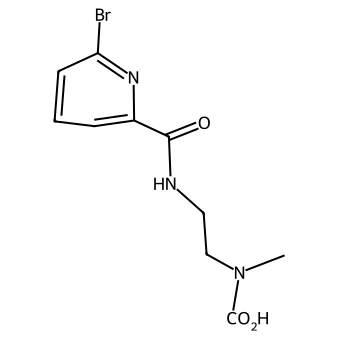 CN(CCNC(=O)c1cccc(Br)n1)C(=O)O